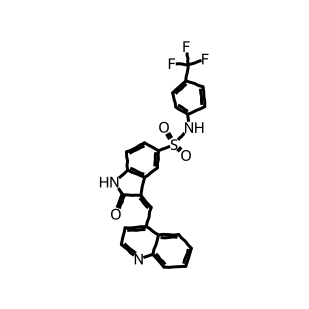 O=C1Nc2ccc(S(=O)(=O)Nc3ccc(C(F)(F)F)cc3)cc2C1=Cc1ccnc2ccccc12